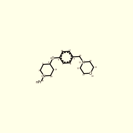 CCCN1CCC(Oc2ccc(CN3CCOCC3)cc2)CC1